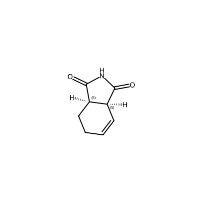 O=C1NC(=O)[C@@H]2CCC=C[C@H]12